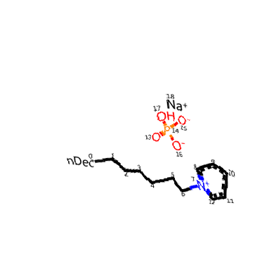 CCCCCCCCCCCCCCCC[n+]1ccccc1.O=P([O-])([O-])O.[Na+]